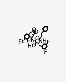 CCc1ccc2c(c1)[C@@H](NC[C@@H](O)[C@H](Cc1cc(F)cc(F)c1)NC(=O)CCc1ccccc1)CS(=O)(=O)C2